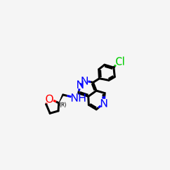 Clc1ccc(-c2nnc(NC[C@H]3CCCO3)c3ccncc23)cc1